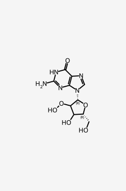 Nc1nc2c(ncn2[C@@H]2O[C@H](CO)C(O)C2OO)c(=O)[nH]1